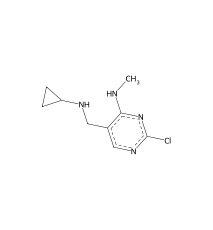 CNc1nc(Cl)ncc1CNC1CC1